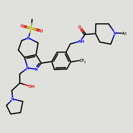 CC(=O)N1CCC(C(=O)NCc2cc(-c3nn(CC(O)CN4CCCC4)c4c3CN(S(C)(=O)=O)CC4)ccc2C(F)(F)F)CC1